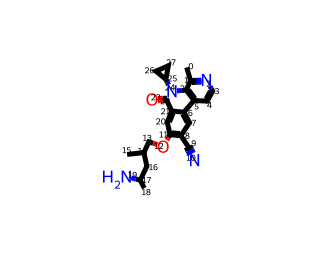 Cc1nccc2c3cc(C#N)c(OCC(C)CC(C)N)cc3c(=O)n(C3CC3)c12